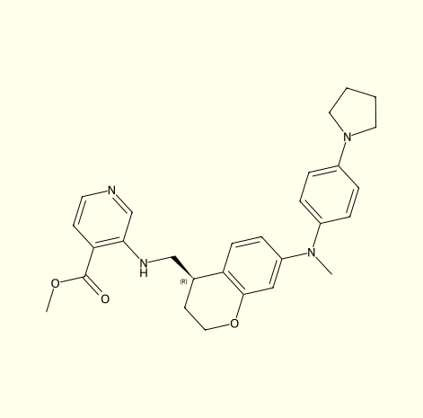 COC(=O)c1ccncc1NC[C@@H]1CCOc2cc(N(C)c3ccc(N4CCCC4)cc3)ccc21